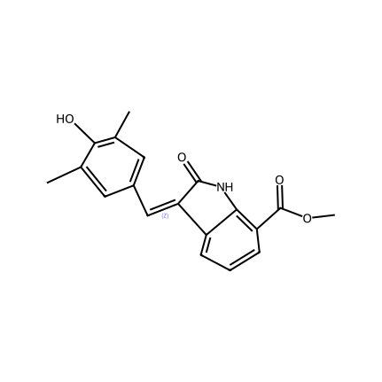 COC(=O)c1cccc2c1NC(=O)/C2=C\c1cc(C)c(O)c(C)c1